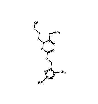 COC(=O)C(CCSC)NC(=O)OCn1nc(C)cc1C